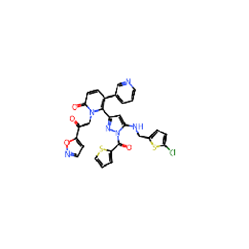 O=C(Cn1c(-c2cc(NCc3ccc(Cl)s3)n(C(=O)c3cccs3)n2)c(-c2cccnc2)ccc1=O)c1ccno1